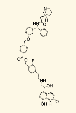 O=C(N[C@@H](c1ccccc1)c1cccc(OCc2ccc(C(=O)OCc3ccc(CCNC[C@H](O)c4ccc(O)c5[nH]c(=O)ccc45)cc3F)cc2)c1)O[C@H]1CN2CCC1CC2